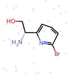 N[C@H](CO)c1cccc(Br)n1